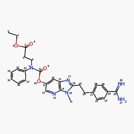 CCOC(=O)CCN(C(=O)Oc1cnc2c(c1)nc(CCc1ccc(C(=N)N)cc1)n2C)c1ccccc1